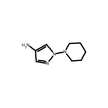 Nc1cnn(N2CCCCC2)c1